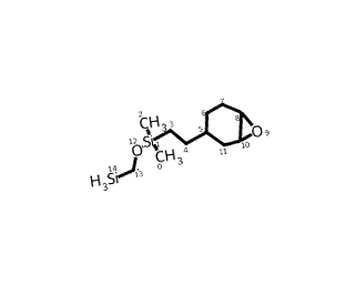 C[Si](C)(CCC1CCC2OC2C1)O[CH][SiH3]